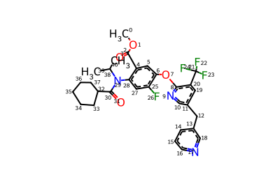 COC(=O)c1cc(Oc2ncc(Cc3cccnc3)cc2C(F)(F)F)c(F)cc1N(C(=O)C1CCCCC1)C(C)C